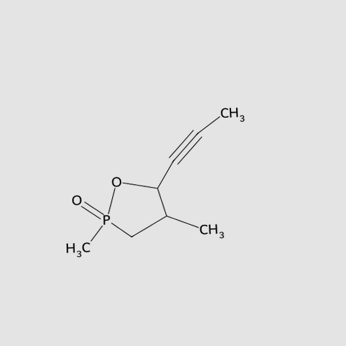 CC#CC1OP(C)(=O)CC1C